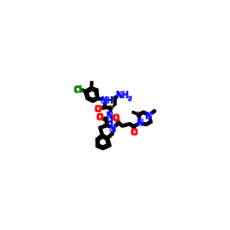 Cc1cc(NC(=O)[C@H](CCN)NC(=O)[C@@H]2Cc3ccccc3CN2C(=O)CCC(=O)N2CCN(C)C[C@@H]2C)ccc1Cl